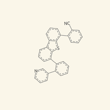 N#Cc1ccccc1-c1cccc2c1sc1c(-c3ccccc3-c3cccnc3)cccc12